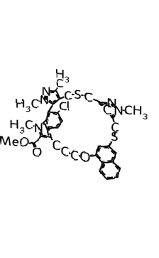 COC(=O)c1c2c3ccc(Cl)c(c3n1C)-c1c(c(C)nn1C)CSCc1cc(n(C)n1)CSc1cc(c3ccccc3c1)OCCC2